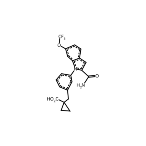 NC(=O)c1cc2ccc(OC(F)(F)F)cc2n1-c1cccc(CC2(C(=O)O)CC2)c1